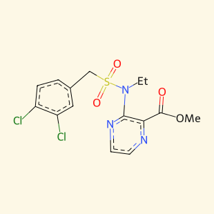 CCN(c1nccnc1C(=O)OC)S(=O)(=O)Cc1ccc(Cl)c(Cl)c1